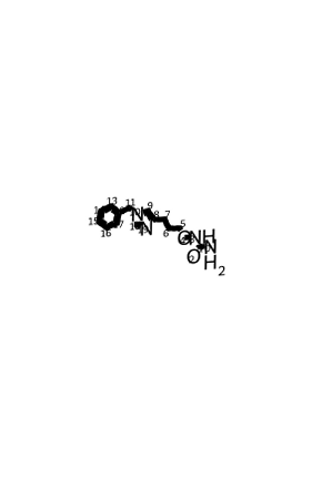 NC(=O)NOCCCc1cn(Cc2ccccc2)cn1